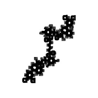 Cc1cc(C)c(C(C)(C)CC(=O)N(C)[C@H]2CC[C@@H](c3ccc(Cl)c(Cl)c3)c3ccccc32)c(OC(=O)CCCCC(=O)Oc2cc(C)cc(C)c2C(C)(C)CC(=O)N(C)[C@H]2CC[C@@H](c3ccc(Cl)c(Cl)c3)c3ccccc32)c1